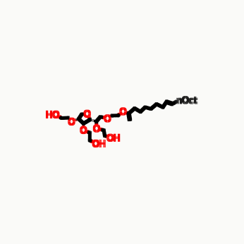 C=C(CCCCCC/C=C/CCCCCCCC)OCCOCC(OCCO)[C@H]1OC[C@@H](OCCO)[C@@H]1OCCO